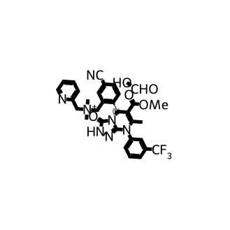 COC(=O)C1=C(C)N(c2cccc(C(F)(F)F)c2)c2n[nH]c(=O)n2[C@@H]1c1ccc(C#N)cc1C[N+](C)(C)Cc1ccccn1.O=CO